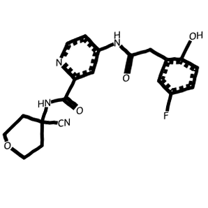 N#CC1(NC(=O)c2cc(NC(=O)Cc3cc(F)ccc3O)ccn2)CCOCC1